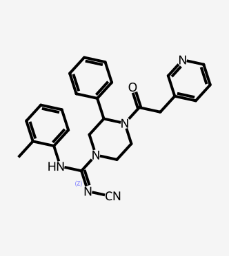 Cc1ccccc1N/C(=N/C#N)N1CCN(C(=O)Cc2cccnc2)C(c2ccccc2)C1